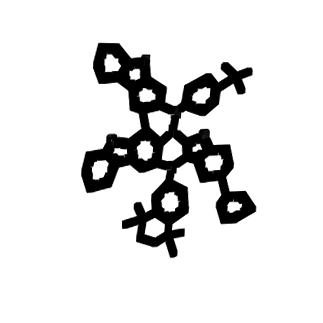 CC(C)(C)c1ccc(N2B3c4oc5ccc(-c6ccccc6)cc5c4N(c4ccc5c(c4)C(C)(C)CCC5(C)C)c4cc5c(oc6ccccc65)c(c43)-c3cc4c(cc32)sc2ccccc24)cc1